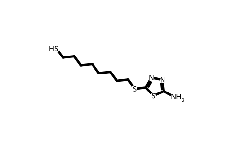 Nc1nnc(SCCCCCCCCS)s1